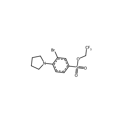 O=S(=O)(OCC(F)(F)F)c1ccc(N2CCCC2)c(Br)c1